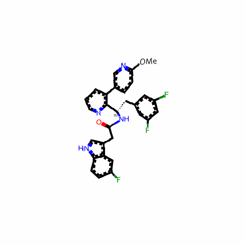 COc1ccc(-c2cccnc2[C@H](Cc2cc(F)cc(F)c2)NC(=O)Cc2c[nH]c3ccc(F)cc23)cn1